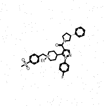 CC[N+]1(Cc2ccc(S(C)(=O)=O)cc2)CCC(c2c(C(=O)N3CC[C@H](c4ccccc4)C3)cnn2-c2ccc(F)cc2)CC1